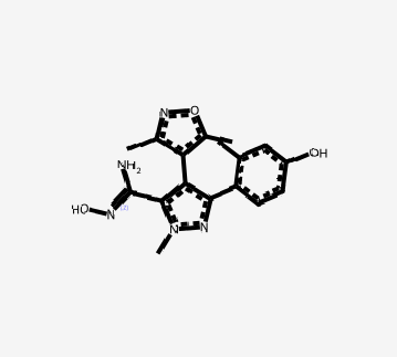 Cc1cc(O)ccc1-c1nn(C)c(/C(N)=N/O)c1-c1c(C)noc1C